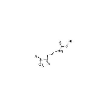 CN(C)C(=O)CCCNC(=O)OC(C)(C)C